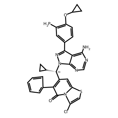 Nc1ncnc2c1c(-c1ccc(OC3CC3)c(P)c1)nn2[C@H](c1cc2scc(Cl)n2c(=O)c1-c1ccccc1)C1CC1